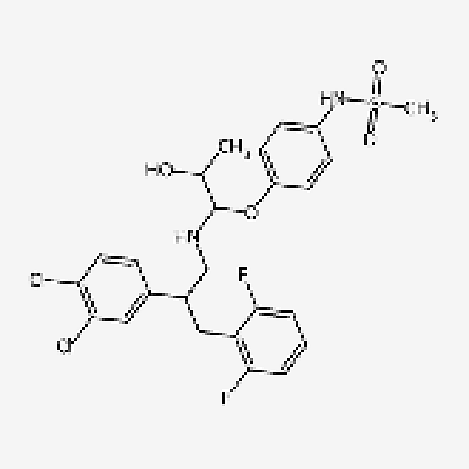 CC(O)C(NCC(Cc1c(F)cccc1F)c1ccc(Cl)c(Cl)c1)Oc1ccc(NS(C)(=O)=O)cc1